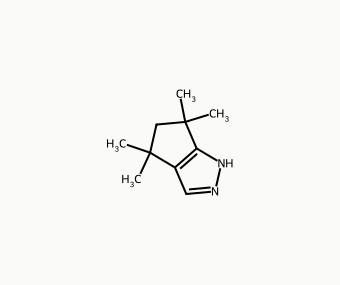 CC1(C)CC(C)(C)c2[nH]ncc21